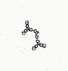 COc1ccc(N(c2ccc(OC)cc2)c2ccc(-c3ccc(C4(C)CC(C)(C)c5ccc(-c6ccc(N(c7ccc(OC)cc7)c7ccc(OC)cc7)cc6)cc54)cc3)cc2)cc1